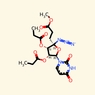 CCC(=O)O[C@H]1[C@H](n2ccc(=O)[nH]c2=O)O[C@](CCC(=O)OC)(N=[N+]=[N-])[C@H]1OC(=O)CC